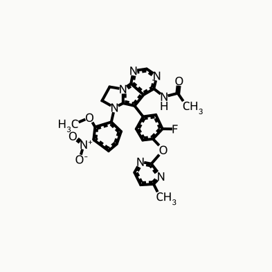 COc1c(N2CCn3c2c(-c2ccc(Oc4nccc(C)n4)c(F)c2)c2c(NC(C)=O)ncnc23)cccc1[N+](=O)[O-]